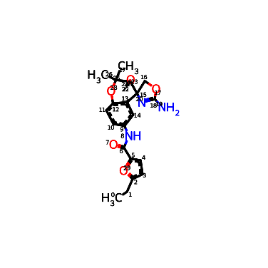 CCc1ccc(C(=O)Nc2ccc3c(c2)C2(COC(N)=N2)C2(COC2)C(C)(C)O3)o1